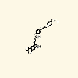 CN1CCN(CCCOc2ccc(SNCCCc3c[nH]c4cc(Cl)c(Cl)cc34)cc2)CC1